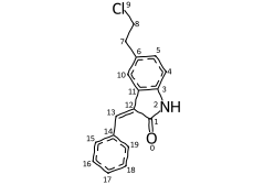 O=C1Nc2ccc(CCCl)cc2C1=Cc1ccccc1